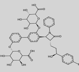 O=C(O)C1O[C@@H](Oc2cccc(-c3ccc([C@@H]4[C@@H](CC[C@H](O)c5ccc(F)cc5)C(=O)N4c4ccccc4)c(O[C@@H]4OC(C(=O)O)[C@@H](O)C(O)C4O)c3)c2)C(O)C(O)[C@@H]1O